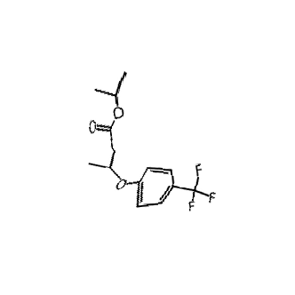 CC(C)OC(=O)CC(C)Oc1ccc(C(F)(F)F)cc1